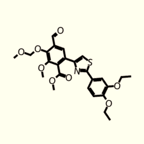 CCOc1ccc(-c2nc(-c3cc(C=O)c(OCOC)c(OC)c3C(=O)OC)cs2)cc1OCC